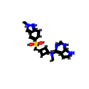 Cn1cc2cc(S(=O)(=O)C[C@H]3C[C@@H](N(C)c4ncnc5[nH]ccc45)C3)ccc2n1